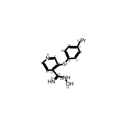 CC(C)c1ccc(Sc2cnccc2C(=N)NO)cc1